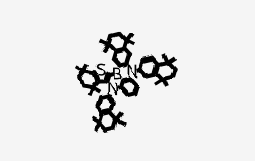 CC1(C)CCC(C)(C)c2cc(N3c4cc5c(cc4B4c6sc7c(c6N(c6ccc8c(c6)C(C)(C)CCC8(C)C)c6cccc3c64)C(C)(C)CCC7(C)C)C(C)(C)CCC5(C)C)ccc21